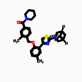 Cc1ccc(OCc2ccc(C(=O)N3CCCCC3)cc2C)c(-c2csc(N3C[C@H]4C[C@@H](C3)[C@H]4C(=O)O)n2)c1